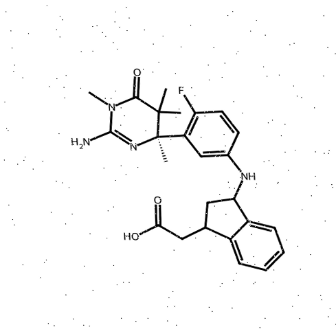 CN1C(=O)C(C)(C)[C@@](C)(c2cc(NC3CC(CC(=O)O)c4ccccc43)ccc2F)N=C1N